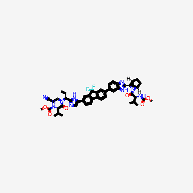 CC[C@@H](c1ncc(-c2ccc3c(c2)C(F)(F)c2cc(-c4ccc5nc([C@@H]6[C@H]7CC[C@H](C7)N6C(=O)[C@@H](NC(=O)OC)C(C)C)[nH]c5c4)ccc2-3)[nH]1)N(CCC#N)C(=O)[C@@H](NC(=O)OC)C(C)C